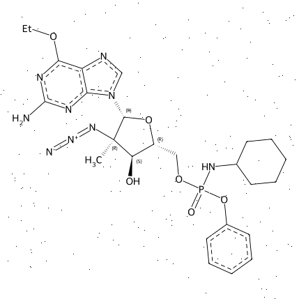 CCOc1nc(N)nc2c1ncn2[C@@H]1O[C@H](COP(=O)(NC2CCCCC2)Oc2ccccc2)[C@@H](O)[C@@]1(C)N=[N+]=[N-]